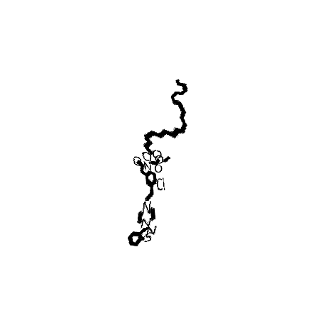 CC/C=C\C/C=C\C/C=C\C/C=C\CCCC/C=C\CCC(=O)OC(C(=O)OCC)N1C(=O)Cc2cc(CCN3CCN(c4nsc5ccccc45)CC3)c(Cl)cc21